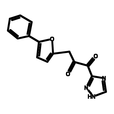 O=C(Cc1ccc(-c2ccccc2)o1)C(=O)c1nc[nH]n1